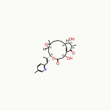 C/C(=C\c1ccc(C)cn1)[C@@H]1C[C@@H]2O[C@]2(C)CCC[C@@H]2C=C(C(=O)[C@H](C)[C@H]2O)[C@@H](O)CC(=O)O1